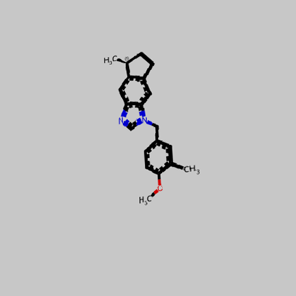 COc1ccc(Cn2cnc3cc4c(cc32)CC[C@@H]4C)cc1C